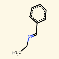 O=C(O)C/N=C/c1ccccc1